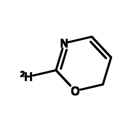 [2H]C1=NC=CCO1